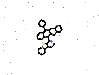 c1ccc(-c2c3ccccc3c(-c3nccc4c3sc3ccccc34)c3cc4ccccc4cc23)cc1